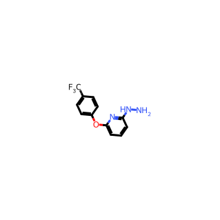 NNc1cccc(Oc2ccc(C(F)(F)F)cc2)n1